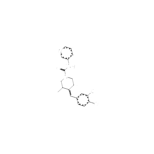 CC1CN(C(=O)Nc2cccnc2)CCC1=Cc1ccc(Cl)c(Cl)c1